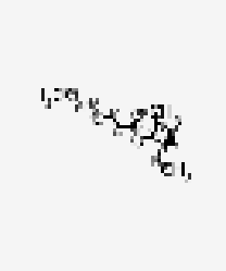 CCN1C=CN(C)C1OC(=O)CCOCCOC